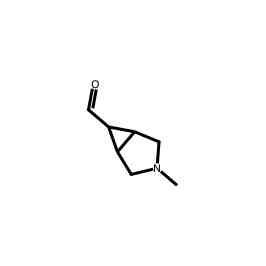 CN1CC2C(C=O)C2C1